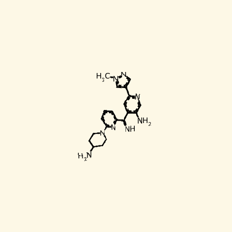 Cn1cc(-c2cc(C(=N)c3cccc(N4CCC(N)CC4)n3)c(N)cn2)cn1